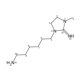 CN1CCN(CCCCCCN)C1=N